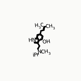 CC(C)=CCc1cc(O)c2c(CCN(C)C(C)C)c[nH]c2c1